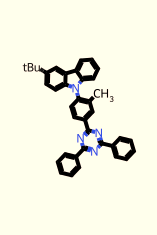 Cc1cc(-c2nc(-c3ccccc3)nc(-c3ccccc3)n2)ccc1-n1c2ccccc2c2cc(C(C)(C)C)ccc21